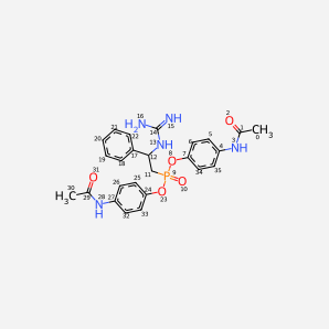 CC(=O)Nc1ccc(OP(=O)(CC(NC(=N)N)c2ccccc2)Oc2ccc(NC(C)=O)cc2)cc1